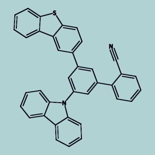 N#Cc1ccccc1-c1cc(-c2ccc3sc4ccccc4c3c2)cc(-n2c3ccccc3c3ccccc32)c1